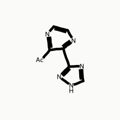 CC(=O)c1nccnc1-c1nc[nH]n1